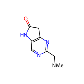 CNCc1ncc2c(n1)CC(=O)N2